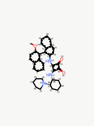 COc1ccc2ccccc2c1-c1c(Nc2c(N[C@@H]3CCCC[C@H]3N3CCCCC3)c(=O)c2=O)ccc2ccccc12